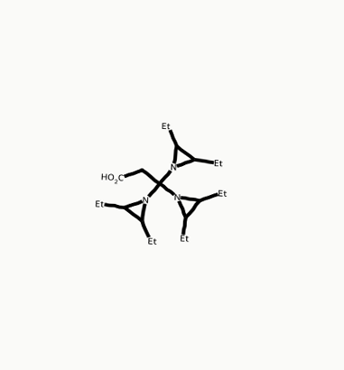 CCC1C(CC)N1C(CC(=O)O)(N1C(CC)C1CC)N1C(CC)C1CC